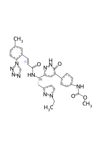 CCn1ccc(C[C@H](NC(=O)/C=C/c2cc(C)ccc2-n2cnnn2)c2cc(-c3ccc(NC(=O)OC)cc3)c(=O)[nH]n2)n1